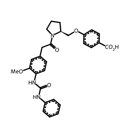 COc1cc(CC(=O)N2CCC[C@H]2COc2ccc(C(=O)O)cc2)ccc1NC(=O)Nc1ccccc1